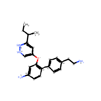 CCC(C)C1=CC(Oc2cc(N)ccc2-c2ccc(CCN)cc2)=CNN1